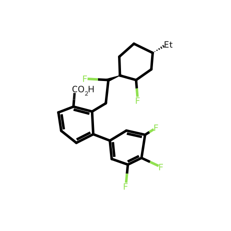 CC[C@H]1CC[C@H](C(F)Cc2c(C(=O)O)cccc2-c2cc(F)c(F)c(F)c2)C(F)C1